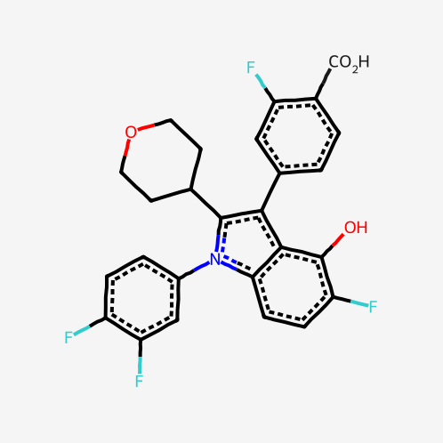 O=C(O)c1ccc(-c2c(C3CCOCC3)n(-c3ccc(F)c(F)c3)c3ccc(F)c(O)c23)cc1F